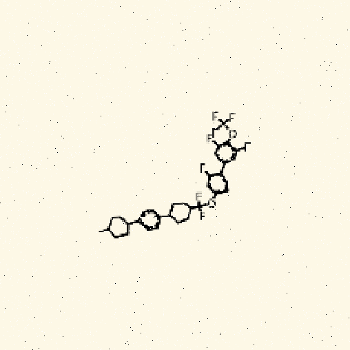 CC1CCC(c2ccc(C3CCC(C(F)(F)Oc4ccc(-c5cc(F)c(OC(F)(F)F)c(F)c5)c(F)c4)CC3)cc2)CC1